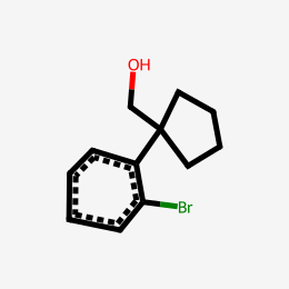 OCC1(c2ccccc2Br)CCCC1